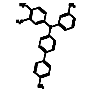 Cc1ccc(-c2ccc(N(c3cccc(C)c3)c3ccc(C)c(C)c3)cc2)cc1